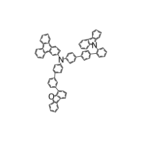 c1cc(-c2ccc(N(c3ccc(-c4ccc(-c5ccccc5-n5c6ccccc6c6ccccc65)cc4)cc3)c3ccc4c5ccccc5c5ccccc5c4c3)cc2)cc(-c2cccc3c2oc2ccccc23)c1